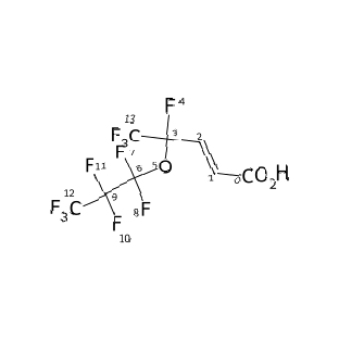 O=C(O)C=CC(F)(OC(F)(F)C(F)(F)C(F)(F)F)C(F)(F)F